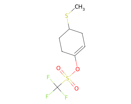 CSC1CC=C(OS(=O)(=O)C(F)(F)F)CC1